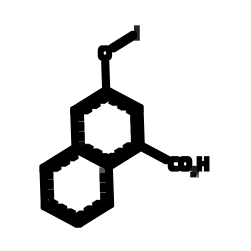 O=C(O)c1cc(OI)cc2ccccc12